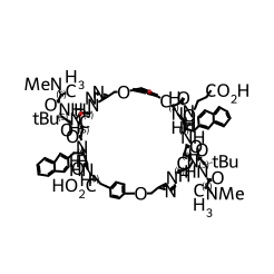 CN[C@@H](C)C(=O)N[C@H](C(=O)N1C[C@@H]2C[C@H]1C(=O)N[C@@H](Cc1ccc3ccccc3c1)C(=O)N[C@H](C(=O)O)Cc1ccc(cc1)OCc1cn(cn1)[C@H]1C[C@@H](C(=O)N[C@@H](Cc3ccc4ccccc4c3)C(=O)N[C@H](C(=O)NCCCC(=O)O)Cc3ccc(cc3)OCc3cn2nn3)N(C(=O)[C@@H](NC(=O)[C@H](C)NC)C(C)(C)C)C1)C(C)(C)C